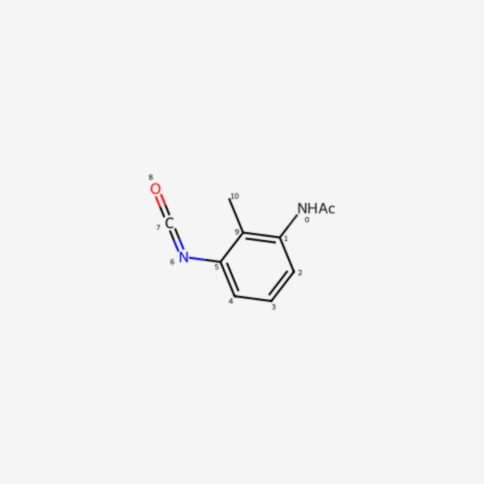 CC(=O)Nc1cccc(N=C=O)c1C